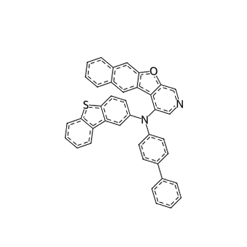 c1ccc(-c2ccc(N(c3ccc4sc5ccccc5c4c3)c3cncc4oc5cc6ccccc6cc5c34)cc2)cc1